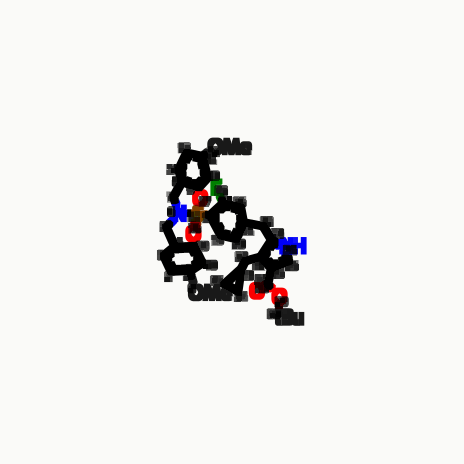 COc1ccc(CN(Cc2ccc(OC)cc2)S(=O)(=O)c2ccc(Cc3[nH]cc(C(=O)OC(C)(C)C)c3CC3CC3)cc2F)cc1